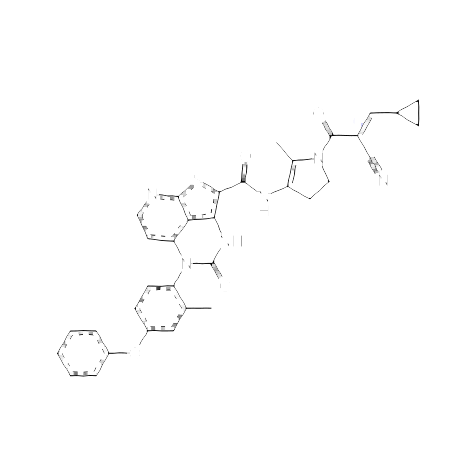 CC1=C(NC(=O)c2sc3nccc4c3c2NC(=O)N4c2ccc(Oc3ccccc3)cc2C)CCN1C(=O)/C(C#N)=C/C1CC1